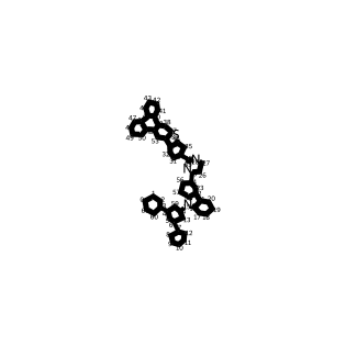 c1ccc(-c2cc(-c3ccccc3)cc(-n3c4ccccc4c4cc(-c5ccnc(-c6ccc7c(c6)sc6cc8c9ccccc9c9ccccc9c8cc67)n5)ccc43)c2)cc1